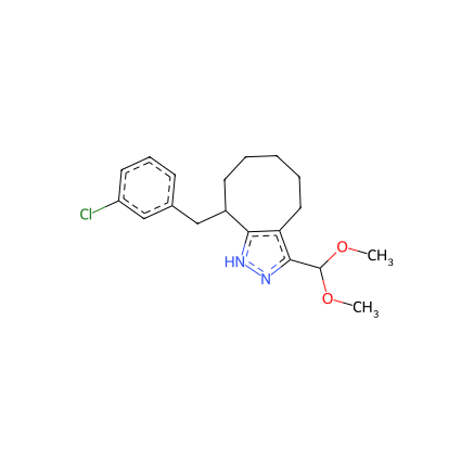 COC(OC)c1n[nH]c2c1CCCCCC2Cc1cccc(Cl)c1